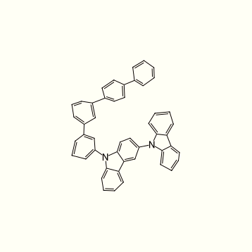 c1ccc(-c2ccc(-c3cccc(-c4cccc(-n5c6ccccc6c6cc(-n7c8ccccc8c8ccccc87)ccc65)c4)c3)cc2)cc1